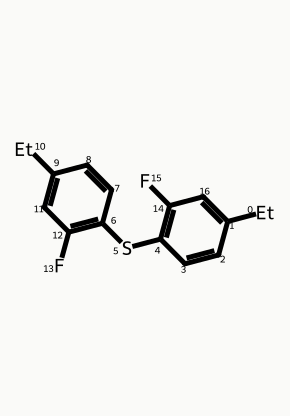 CCc1ccc(Sc2ccc(CC)cc2F)c(F)c1